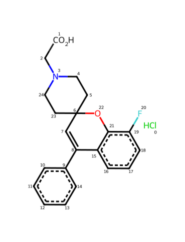 Cl.O=C(O)CN1CCC2(C=C(c3ccccc3)c3cccc(F)c3O2)CC1